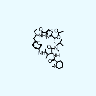 CC[C@H](Cc1ccc(N)cc1)NC(=O)c1csc([C@@H](C[C@H](C(C)C)N(C)C(=O)[C@@H](NC(=O)[C@H]2CCCCN2C)[C@@H](C)CC)OC(C)=O)n1